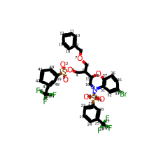 O=S(=O)(OCC(COCc1ccccc1)C1CN(S(=O)(=O)c2cccc(C(F)(F)F)c2)c2cc(Br)ccc2O1)c1cccc(C(F)(F)F)c1